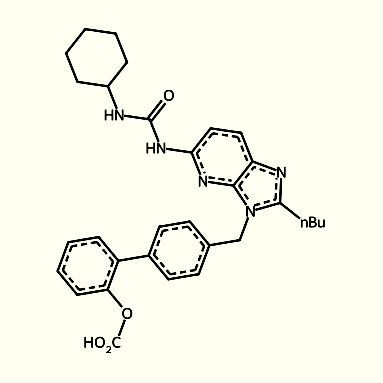 CCCCc1nc2ccc(NC(=O)NC3CCCCC3)nc2n1Cc1ccc(-c2ccccc2OC(=O)O)cc1